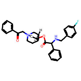 O=C(C[N+]12CCC(CC1)[C@@H](OC(=O)C(NCc1ccc(F)cc1)c1ccccc1)C2)c1ccccc1